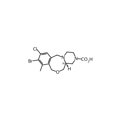 Cc1c(Br)c(Cl)cc2c1COC[C@H]1CN(C(=O)O)CCN1C2